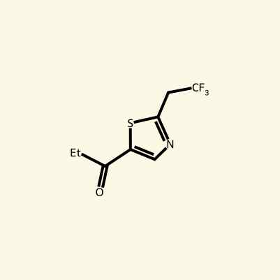 CCC(=O)c1cnc(CC(F)(F)F)s1